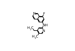 CCc1cc(Nc2cc(F)c3cnccc3c2)ncc1C